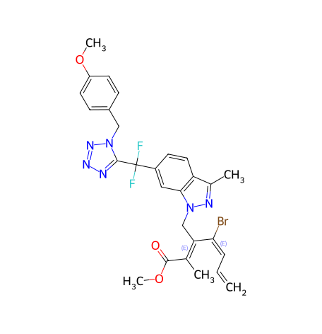 C=C/C=C(Br)\C(Cn1nc(C)c2ccc(C(F)(F)c3nnnn3Cc3ccc(OC)cc3)cc21)=C(/C)C(=O)OC